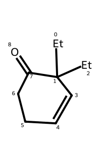 CCC1(CC)C=CCCC1=O